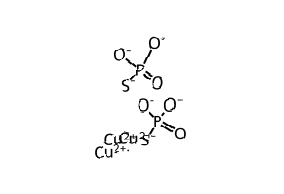 O=P([O-])([O-])[S-].O=P([O-])([O-])[S-].[Cu+2].[Cu+2].[Cu+2]